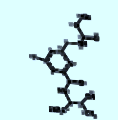 CCOC(=O)C(NC(=O)c1cc(F)cc(CNC(=O)OC(C)(C)C)n1)C(C)O